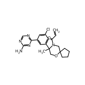 C=CC(=O)N1CC2(CCCC2)OCC1(C)c1cc(Cl)cc(-c2ncnc(N)n2)c1